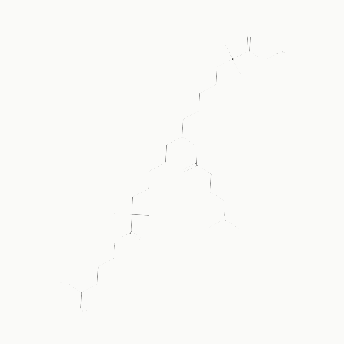 CCCCCCCCCOC(=O)C(C)(C)CCCCCC(CCCCCC(C)(C)C(=O)OCCCC(CCCC)CCCCC)OC(=O)CCCN(C)C